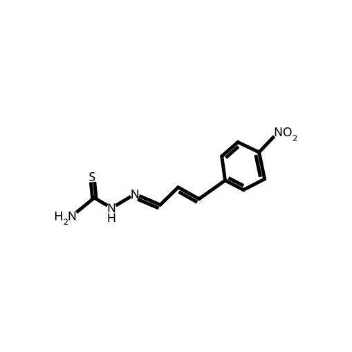 NC(=S)NN=C/C=C/c1ccc([N+](=O)[O-])cc1